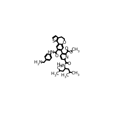 COC(=O)c1nc(C(=O)NC(CC(C)C)CC(C)C)ccc1-c1cc2c(cc1C(=O)Nc1ccc(CN)cc1)-c1sccc1CCO2